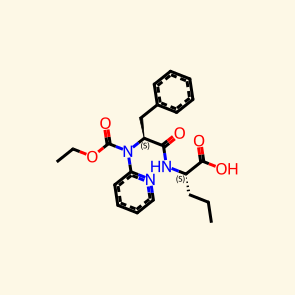 CCC[C@H](NC(=O)[C@H](Cc1ccccc1)N(C(=O)OCC)c1ccccn1)C(=O)O